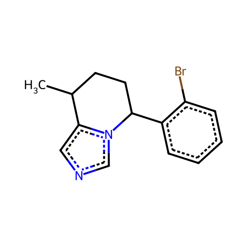 CC1CCC(c2ccccc2Br)n2cncc21